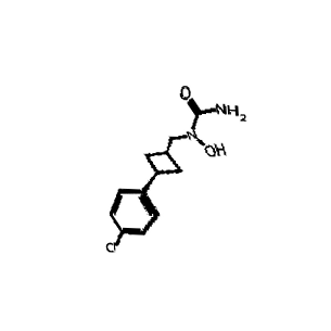 NC(=O)N(O)C[C@H]1C[C@@H](c2ccc(Cl)cc2)C1